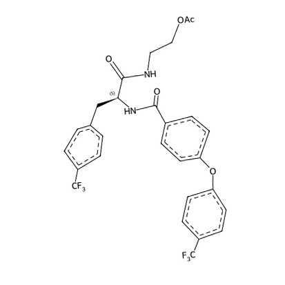 CC(=O)OCCNC(=O)[C@H](Cc1ccc(C(F)(F)F)cc1)NC(=O)c1ccc(Oc2ccc(C(F)(F)F)cc2)cc1